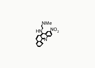 CNCCNc1c2cc([N+](=O)[O-])ccc2nc2c1ccc1ccccc12